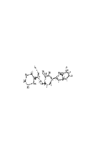 CCC(Oc1ccc(-c2cn3cccc(C)c3n2)cc1C)N1CCCCC1